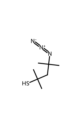 CC(C)(S)CC(C)(C)N=[N+]=[N-]